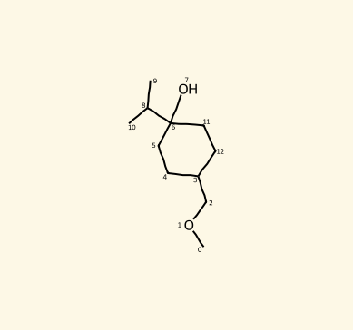 COCC1CCC(O)(C(C)C)CC1